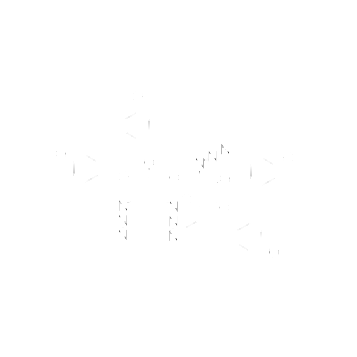 C=C[C@@H]1O[C@H](O[C@H]2[C@H](OCc3ccc(OC)cc3)[C@@H](OCc3ccc(OC)cc3)[C@H](N=[N+]=[N-])C[C@@H]2N=[N+]=[N-])[C@@H](N=[N+]=[N-])[C@@H](OCc2ccc(OC)cc2)[C@H]1OCc1ccc(OC)cc1